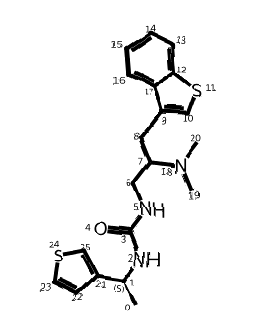 C[C@H](NC(=O)NCC(Cc1csc2ccccc12)N(C)C)c1ccsc1